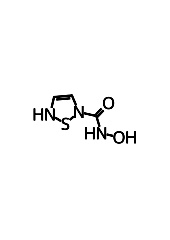 O=C(NO)N1C=CNS1